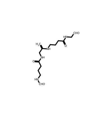 C=C(CNC(=O)CCCNC=O)NCCCC(=O)NCC=O